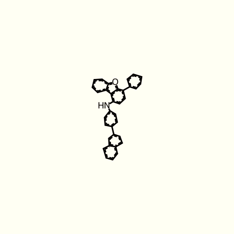 c1ccc(-c2ccc(Nc3ccc(-c4ccc5ccccc5c4)cc3)c3c2oc2ccccc23)cc1